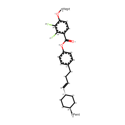 CCCCCCCOc1ccc(C(=O)Oc2ccc(CCC=C[C@H]3CC[C@H](CCCCC)CC3)cc2)c(F)c1F